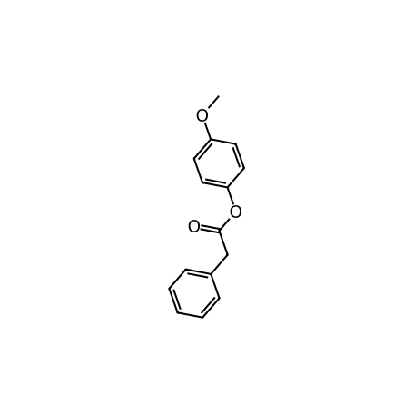 COc1ccc(OC(=O)Cc2ccccc2)cc1